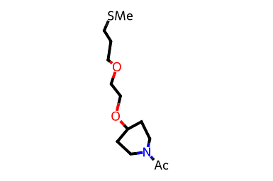 CSCCCOCCOC1CCN(C(C)=O)CC1